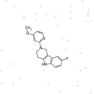 COc1ccnc(N2CCc3[nH]c4ccc(F)cc4c3C2)c1